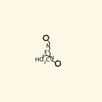 O=C(O)C(CCCN=Cc1ccccc1)(N=Cc1ccccc1)C(F)F